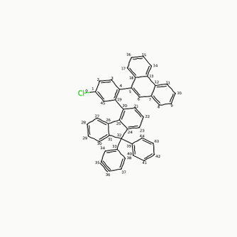 Clc1ccc(-c2cc3ccccc3c3ccccc23)c(-c2cccc3c2-c2ccccc2C3(c2cc#ccc2)c2ccccc2)c1